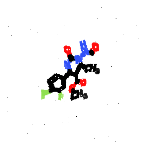 COC(=O)c1c(-c2ccc(F)c(F)c2)nc(=O)n(NC=O)c1C